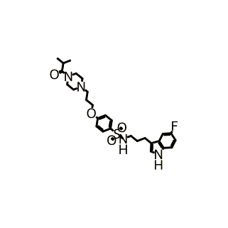 CC(C)C(=O)N1CCN(CCCOc2ccc(S(=O)(=O)NCCCc3c[nH]c4ccc(F)cc34)cc2)CC1